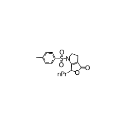 CCCC1OC(=O)C2=C1N(S(=O)(=O)c1ccc(C)cc1)CC2